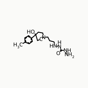 Cc1ccc(C2(O)CCN(CCCNNC(=O)NN)CC2)cc1